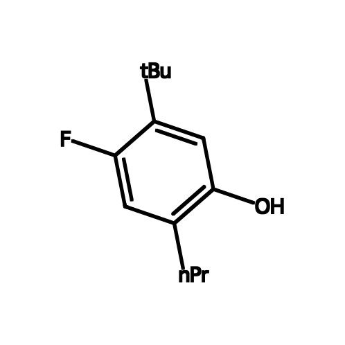 CCCc1cc(F)c(C(C)(C)C)cc1O